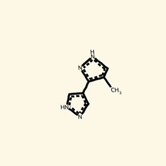 Cc1c[nH]nc1-c1cn[nH]c1